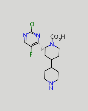 O=C(O)N1CCC(C2CCNCC2)C[C@@H]1c1nc(Cl)ncc1F